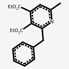 CCOC(=O)c1[c]c(C)nc(Cc2ccccc2)c1C(=O)OCC